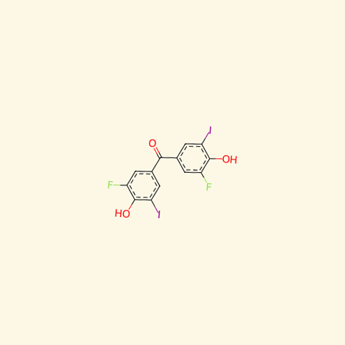 O=C(c1cc(F)c(O)c(I)c1)c1cc(F)c(O)c(I)c1